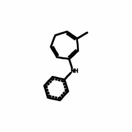 CC1=CCC=CC(Nc2ccccc2)=C1